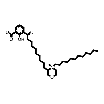 CCCCCCCCCCCC[N+]1(C)CCOCC1CCCCCCCCCC(=O)c1cccc(C(=O)[O-])c1O